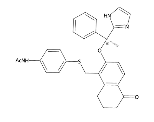 CC(=O)Nc1ccc(SCc2c(O[C@@](C)(c3ccccc3)c3ncc[nH]3)ccc3c2CCCC3=O)cc1